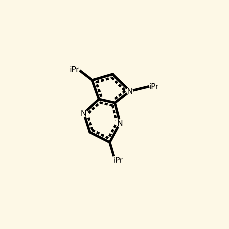 CC(C)c1cnc2c(C(C)C)cn(C(C)C)c2n1